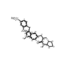 COc1cc(C(=O)O)ccc1Cc1cn(C)c2ccc(CC(C)C(=O)N(C)C3CCCC3)cc12